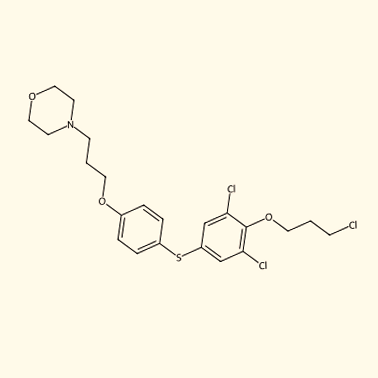 ClCCCOc1c(Cl)cc(Sc2ccc(OCCCN3CCOCC3)cc2)cc1Cl